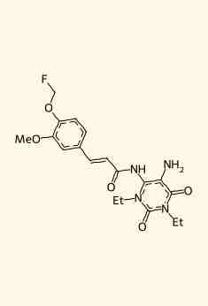 CCn1c(NC(=O)/C=C/c2ccc(OCF)c(OC)c2)c(N)c(=O)n(CC)c1=O